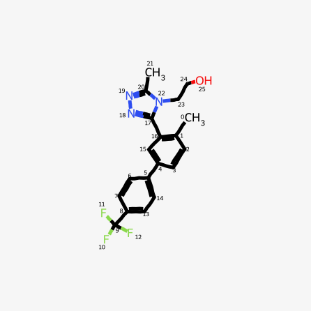 Cc1ccc(-c2ccc(C(F)(F)F)cc2)cc1-c1nnc(C)n1CCO